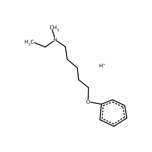 CCN(C)CCCCCOc1ccccc1.[H+]